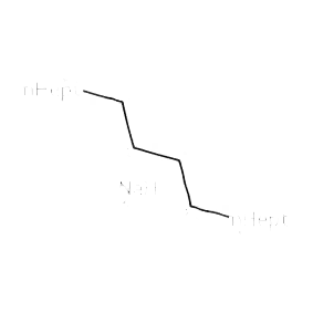 CCCCCCCC[CH]CCCCCCCCC.[NaH]